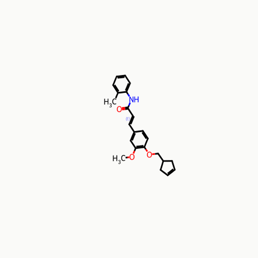 COc1cc(/C=C/C(=O)Nc2ccccc2C)ccc1OCC1CC=CC1